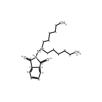 CCCCCCN(CCCCCC)SN1C(=O)c2ccccc2C1=O